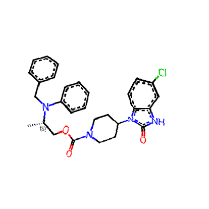 C[C@@H](COC(=O)N1CCC(n2c(=O)[nH]c3cc(Cl)ccc32)CC1)N(Cc1ccccc1)c1ccccc1